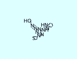 OCCN1CCN(c2nc(NCc3nc4ccccc4[nH]3)c3ncn(-c4ccsc4)c3n2)CC1